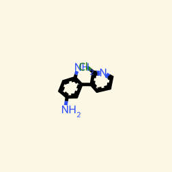 Nc1ccc(N)c(-c2cccnc2Cl)c1